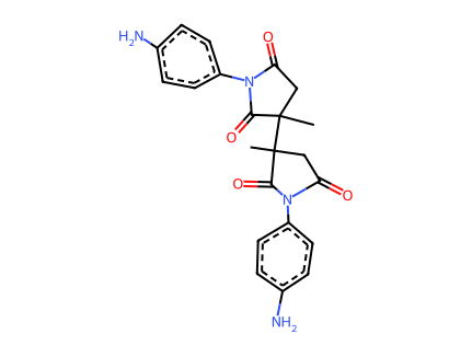 CC1(C2(C)CC(=O)N(c3ccc(N)cc3)C2=O)CC(=O)N(c2ccc(N)cc2)C1=O